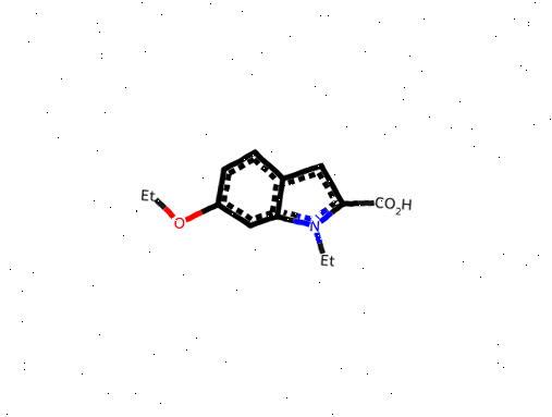 CCOc1ccc2cc(C(=O)O)n(CC)c2c1